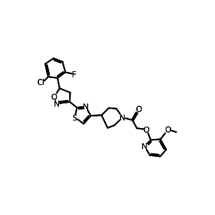 COc1cccnc1OCC(=O)N1CCC(c2csc(C3=NOC(c4c(F)cccc4Cl)C3)n2)CC1